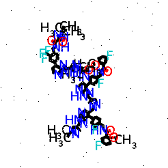 COc1ccc(F)cc1C(=O)NCc1ccc(-c2c(Cn3cc(-c4nc5c(-c6cc(F)c(CNC(=O)c7cc(F)ccc7OC)cc6NC(=O)C(C)(C)n6cc(-c7nc8c(-c9ccc(CNC(=O)c%10nc(C(C)(C)C)no%10)c(C(F)(F)F)c9)ccnc8[nH]7)cn6)ccnc5[nH]4)cn3)cnc3[nH]c(-c4cnn(C(C)C)c4)nc23)cc1F